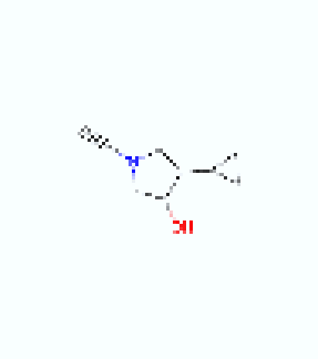 C#CN1CC(O)C(C2CC2)C1